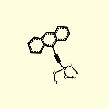 CCO[Si](C#Cc1c2ccccc2cc2ccccc12)(OCC)OCC